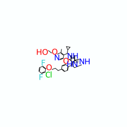 Cc1c(C(NC(=O)C2=C(c3ccc(CCCOc4c(F)ccc(F)c4Cl)cc3)CC3CNC[C@H]2N3)C2CC2)ccnc1OCCO